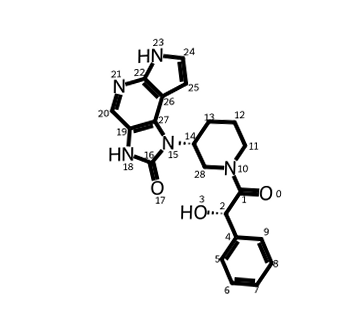 O=C([C@@H](O)c1ccccc1)N1CCC[C@@H](n2c(=O)[nH]c3cnc4[nH]ccc4c32)C1